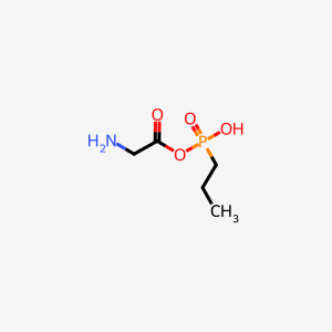 CCCP(=O)(O)OC(=O)CN